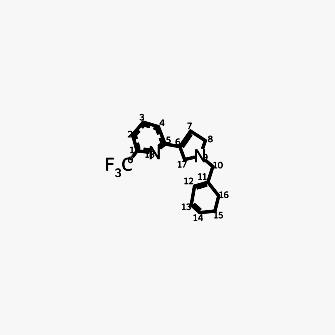 FC(F)(F)c1cccc(C2=CCN(CC3=CC=CCC3)C2)n1